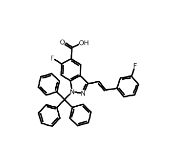 O=C(O)c1cc2c(C=Cc3cccc(F)c3)nn(C(c3ccccc3)(c3ccccc3)c3ccccc3)c2cc1F